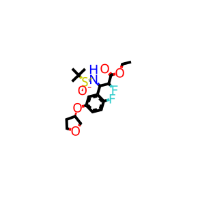 CCOC(=O)C(F)C(N[S@+]([O-])C(C)(C)C)c1cc(O[C@@H]2CCOC2)ccc1F